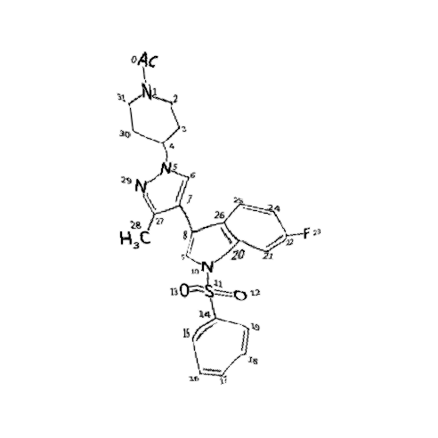 CC(=O)N1CCC(n2cc(-c3cn(S(=O)(=O)c4ccccc4)c4cc(F)ccc34)c(C)n2)CC1